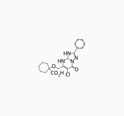 O=C1C(Cl)=C(COC2(C(=O)O)CCCCC2)NC2NC(c3ccccc3)=NN12